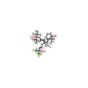 [2H]C([2H])([2H])C(O)(CCC[C@](C)(C/C=C/C(O)(C(F)(F)F)C(F)(F)F)[C@H]1CC[C@H]2C(=O)CCC[C@]12C)C([2H])([2H])[2H]